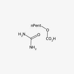 CCCCCOC(=O)O.NC(N)=O